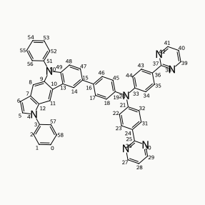 c1ccc(-n2ccc3cc4c(cc32)c2cc(-c3ccc(N(c5ccc(-c6ncccn6)cc5)c5ccc(-c6ncccn6)cc5)cc3)ccc2n4-c2ccccc2)cc1